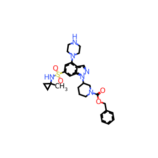 CC1(NS(=O)(=O)c2cc(N3CCNCC3)c3cnn(C4CCCN(C(=O)OCc5ccccc5)C4)c3c2)CC1